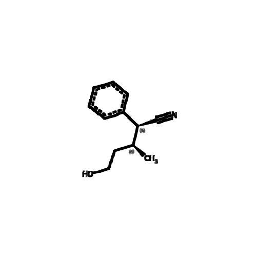 C[C@@H](CCO)[C@H](C#N)c1ccccc1